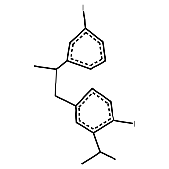 CC(C)c1cc(CC(C)c2cccc(I)c2)ccc1I